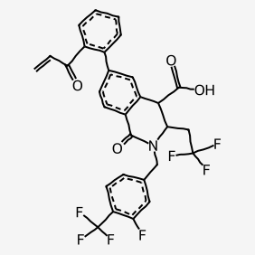 C=CC(=O)c1ccccc1-c1ccc2c(c1)C(C(=O)O)C(CC(F)(F)F)N(Cc1ccc(C(F)(F)F)c(F)c1)C2=O